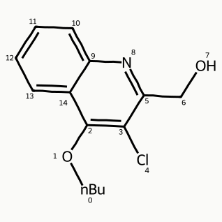 CCCCOc1c(Cl)c(CO)nc2ccccc12